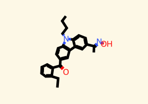 CCCCn1c2ccc(C(=O)c3ccccc3CC)cc2c2cc(C(C)=NO)ccc21